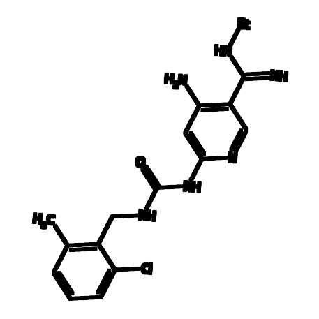 CCNC(=N)c1cnc(NC(=O)NCc2c(C)cccc2Cl)cc1N